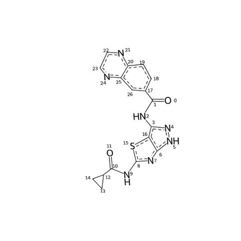 O=C(Nc1n[nH]c2nc(NC(=O)C3CC3)sc12)c1ccc2nccnc2c1